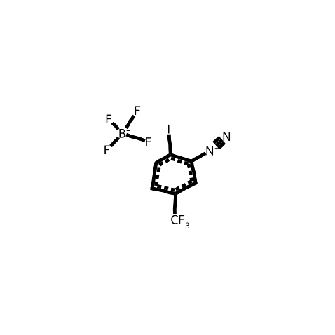 F[B-](F)(F)F.N#[N+]c1cc(C(F)(F)F)ccc1I